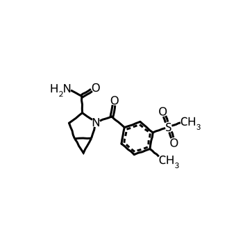 Cc1ccc(C(=O)N2C(C(N)=O)CC3CC32)cc1S(C)(=O)=O